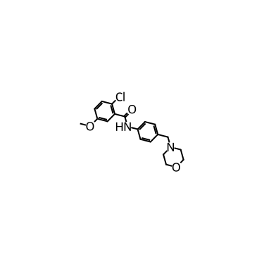 COc1ccc(Cl)c(C(=O)Nc2ccc(CN3CCOCC3)cc2)c1